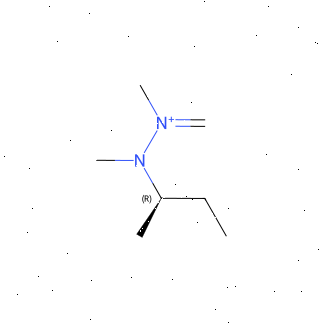 C=[N+](C)N(C)[C@H](C)CC